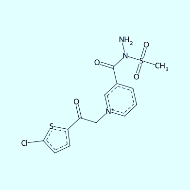 CS(=O)(=O)N(N)C(=O)c1ccc[n+](CC(=O)c2ccc(Cl)s2)c1